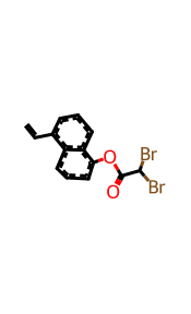 C=Cc1cccc2c(OC(=O)C(Br)Br)cccc12